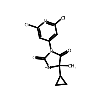 CC1(C2CC2)NC(=O)N(c2cc(Cl)nc(Cl)c2)C1=O